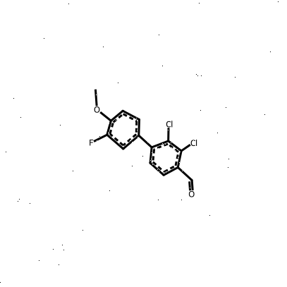 COc1ccc(-c2ccc(C=O)c(Cl)c2Cl)cc1F